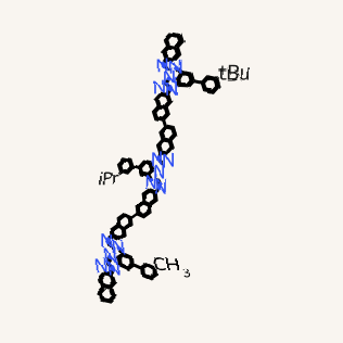 Cc1cccc(-c2cc3c4c(c2)n2c5cc6cc(-c7ccc8cc9nc%10n(c9cc8c7)c7cc(-c8cccc(C(C)C)c8)cc8c7n%10c7nc9cc%10ccc(-c%11ccc%12cc%13nc%14n(c%13cc%12c%11)c%11cc(-c%12cccc(C(C)(C)C)c%12)cc%12c%11n%14c%11nc%13cc%14ccccc%14cc%13n%12%11)cc%10cc9n87)ccc6cc5nc2n4c2nc4cc5ccccc5cc4n32)c1